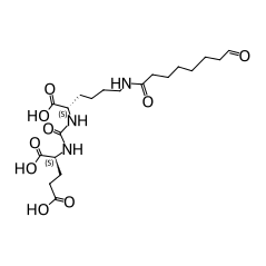 O=CCCCCCCC(=O)NCCCC[C@H](NC(=O)N[C@@H](CCC(=O)O)C(=O)O)C(=O)O